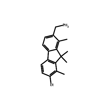 CCc1ccc2c(c1C)C(C)(C)c1c-2ccc(CP)c1C